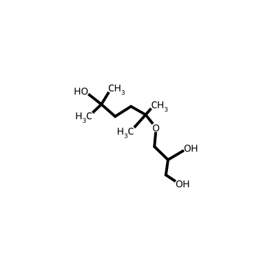 CC(C)(O)CCC(C)(C)OCC(O)CO